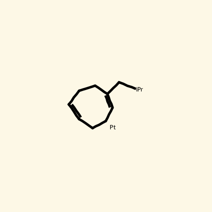 CC(C)CC1=CCCC=CCC1.[Pt]